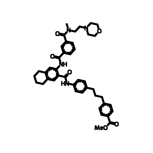 COC(=O)c1ccc(CCCc2ccc(NC(=O)c3cc4c(cc3NC(=O)c3cccc(C(=O)N(C)CCN5CCOCC5)c3)CCCC4)cc2)cc1